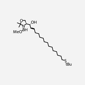 COBN1[C@H]([C@H](O)/C=C/CCCCCCCCCCCCCSC(C)(C)C)COC1(C)C